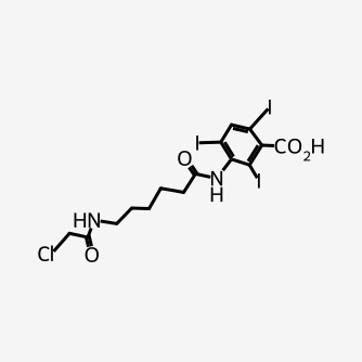 O=C(CCl)NCCCCCC(=O)Nc1c(I)cc(I)c(C(=O)O)c1I